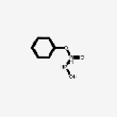 O=[PH](OC1CCCCC1)PO